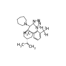 [2H]C([2H])([2H])c1cccc(C)c1-n1nnnc1C(C1=CC[C@@H](C(=C)C)CC1)N1CCCCCC1